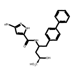 CCCc1cc(C(=O)NC(Cc2ccc(-c3ccccc3)cc2)C[C@@H](O)C(=O)O)[nH]n1